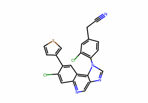 N#CCc1ccc(-n2cnc3cnc4cc(Cl)c(-c5ccsc5)cc4c32)c(Cl)c1